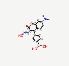 CN(C)c1ccc2c(-c3ccc(B(O)O)cc3)c(/C=N/O)c(=O)oc2c1